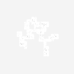 N#CC(C#N)=Cc1c[nH]c2nccc(NC(N)=O)c12